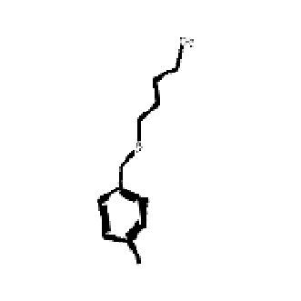 Cc1ccc(COCCCCC=O)cc1